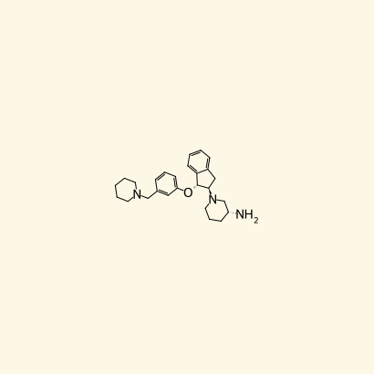 N[C@@H]1CCCN([C@@H]2Cc3ccccc3[C@H]2Oc2cccc(CN3CCCCC3)c2)C1